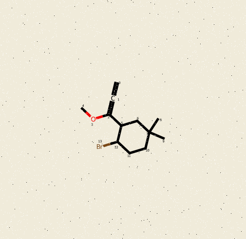 C=C=C(OC)C1CC(C)(C)CCC1Br